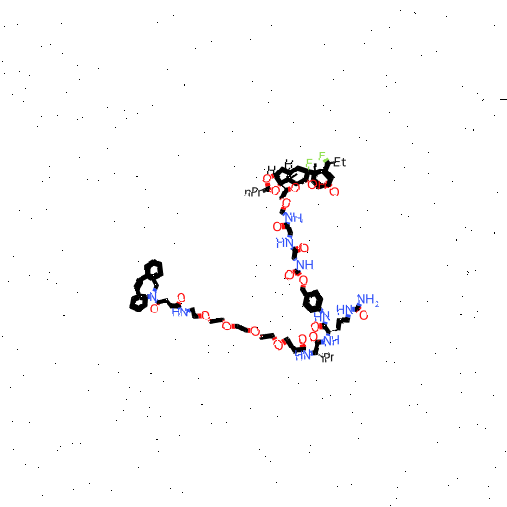 CCCC1O[C@@H]2C[C@H]3C[C@@](F)([C@@]4(C)C=CC(=O)C=C4[C@@H](F)CC)[C@@H](O)C[C@]3(C)[C@]2(C(=O)COCNC(=O)CNC(=O)CNC(=O)OCc2ccc(NC(=O)[C@H](CCCNC(N)=O)NC(=O)[C@@H](NC(=O)CCOCCOCCOCCOCCNC(=O)CCC(=O)N3Cc4ccccc4C#Cc4ccccc43)C(C)C)cc2)O1